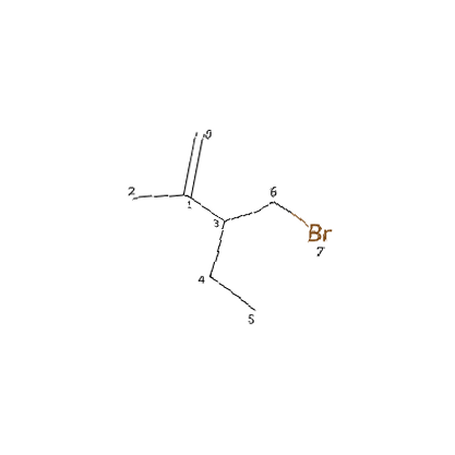 C=C(C)C(CC)CBr